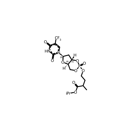 CC(C)OC(=O)C(C)CCOP1(=O)OC[C@H]2O[C@@H](n3cc(C(F)(F)F)c(=O)[nH]c3=O)C[C@@H]2O1